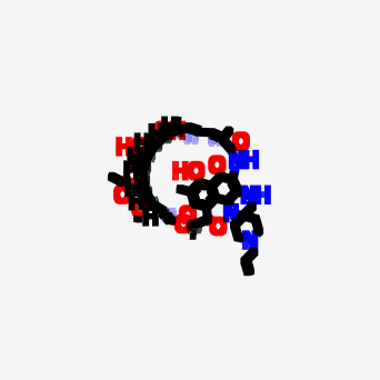 C=CCN1CCC2(CC1)CNC1=C3NC(=O)/C(C)=C\C=C\[C@H](C)[C@H](O)[C@@H](C)[C@@H](O)[C@@H](C)[C@H](OC(C)=O)[C@H](C)[C@@H](OC)/C=C/O[C@@]4(C)Oc5c(C)c(O)c(c(c5C4=O)C1=N2)C3=O